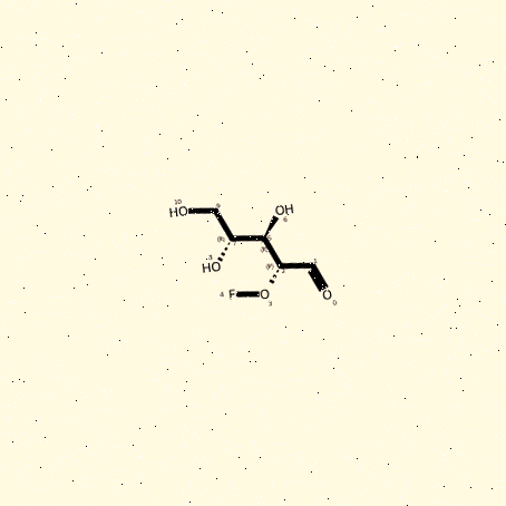 O=C[C@H](OF)[C@H](O)[C@H](O)CO